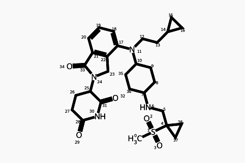 CS(=O)(=O)C1(CNC2CCC(N(CCC3CC3)c3cccc4c3CN(C3CCC(=O)NC3=O)C4=O)CC2)CC1